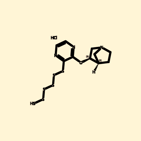 Cl.SSSSSSc1nccnc1O[C@H]1CN2CC[C@@H]1C2